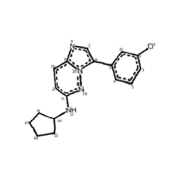 Clc1cccc(-c2cnc3ccc(NC4CCCC4)nn23)c1